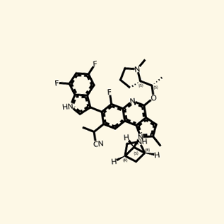 Cc1cc2c(O[C@@H](C)[C@@H]3CCCN3C)nc3c(F)c(-c4c[nH]c5c(F)cc(F)cc45)c(C(C)C#N)cc3c2n1[C@H]1[C@H]2CN[C@@H]1C2